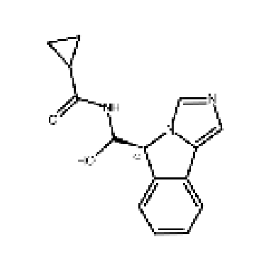 O=C(NC(O)[C@@H]1c2ccccc2-c2cncn21)C1CC1